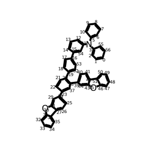 c1ccc(N(c2ccccc2)c2cccc(-c3ccc(-c4ccc(-c5ccc6c(c5)oc5ccccc56)cc4-c4ccc5c(c4)oc4ccccc45)cc3)c2)cc1